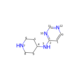 c1cc(NC2CCNCC2)ncn1